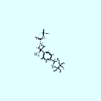 CC(C)(C)OC(=O)N1CC(O)(c2ccc(B3OC(C)(C)C(C)(C)O3)cc2)C1